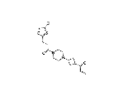 C=CC(=O)N1CC(N2CCN(C(=O)CNc3ncc(Cl)s3)CC2)C1